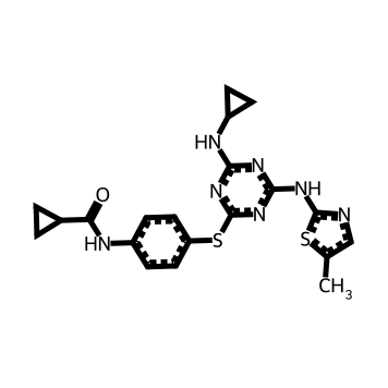 Cc1cnc(Nc2nc(NC3CC3)nc(Sc3ccc(NC(=O)C4CC4)cc3)n2)s1